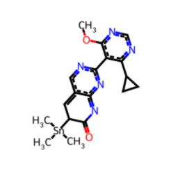 COc1ncnc(C2CC2)c1-c1ncc2c(n1)=NC(=O)[CH]([Sn]([CH3])([CH3])[CH3])C=2